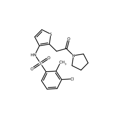 Cc1c(Cl)cccc1S(=O)(=O)Nc1ccsc1CC(=O)N1CCCC1